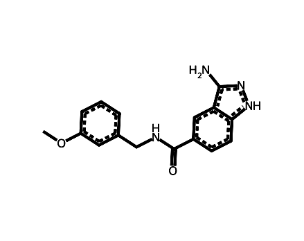 COc1cccc(CNC(=O)c2ccc3[nH]nc(N)c3c2)c1